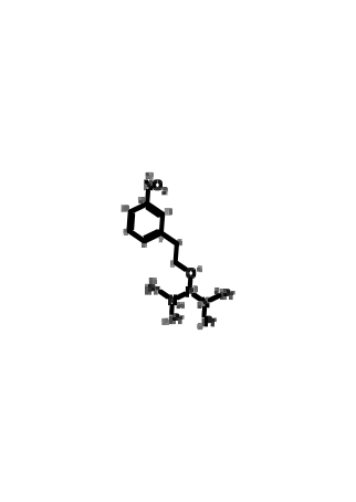 CC(C)N(C(C)C)P(OCCc1cccc([N+](=O)[O-])c1)N(C(C)C)C(C)C